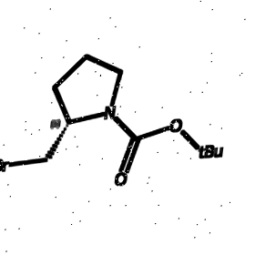 CC(C)(C)OC(=O)N1CCC[C@H]1CBr